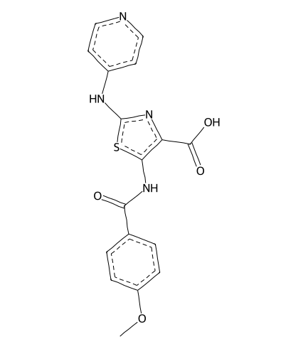 COc1ccc(C(=O)Nc2sc(Nc3ccncc3)nc2C(=O)O)cc1